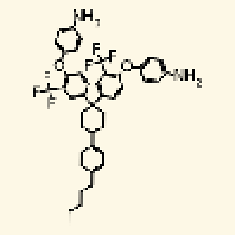 CCCCCc1ccc(C2CCC(c3ccc(Oc4ccc(N)cc4)c(C(F)(F)F)c3)(c3ccc(Oc4ccc(N)cc4)c(C(F)(F)F)c3)CC2)cc1